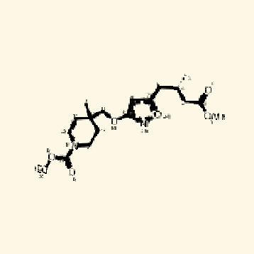 COC(=O)C[C@@H](C)Cc1cc(OCC2(C)CCN(C(=O)OC(C)(C)C)CC2)no1